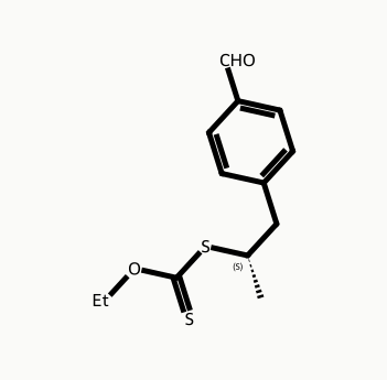 CCOC(=S)S[C@@H](C)Cc1ccc(C=O)cc1